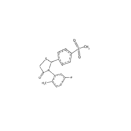 Cc1ccc(F)cc1N1C(=O)CSC1c1ccc(S(C)(=O)=O)cc1